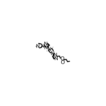 CCCC(=O)OCCc1nccc(N2C[C@@H](C)N(c3ccnc(N4CCN(C)CC4)n3)[C@@H](C)C2)n1